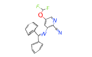 N#Cc1ncc(OC(F)F)cc1N=C(c1ccccc1)c1ccccc1